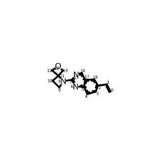 C=Cc1ccc2nc(N3CCC34COC4)ncc2c1